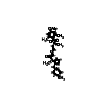 COc1cc(C)c(S(=O)(=O)N(C)CCOCC(=O)N(C)[C@@H]2CCC[C@H]2CN2CCN(C)CC2)c(C)c1